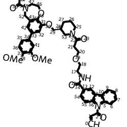 C=CC(=O)n1c2ccccc2c2cc(C(=O)NCCOCCC(=O)N3CCC[C@H](COc4cc(-c5ccc(OC)c(OC)c5)cc5c4OCCN(C(=O)CC)C5)C3)ccc21